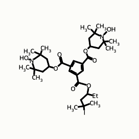 CCC(CC(C)(C)I)OC(=O)c1cc(C(=O)OC2CC(C)(C)N(O)C(C)(C)C2)cc(C(=O)OC2CC(C)(C)N(O)C(C)(C)C2)c1